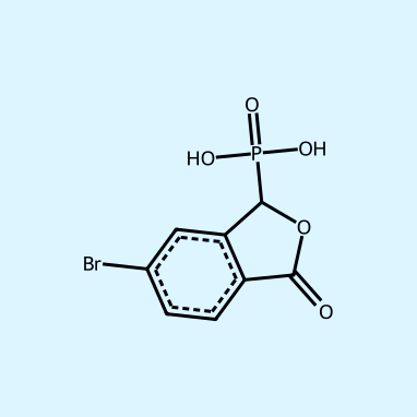 O=C1OC(P(=O)(O)O)c2cc(Br)ccc21